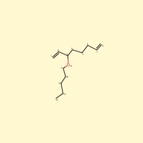 C=CCCCC(C=C)OCCCCC